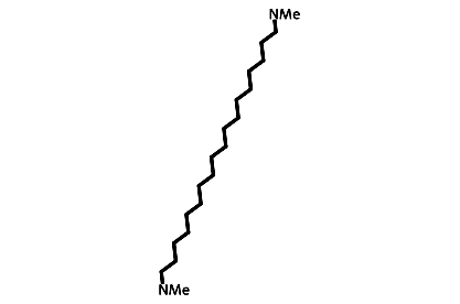 CNCCCCCCCCCCCCCCCCCCNC